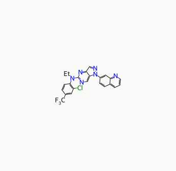 CCN(c1ncc2c(cnn2-c2ccc3cccnc3c2)n1)c1ccc(C(F)(F)F)cc1Cl